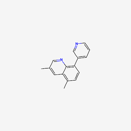 Cc1cnc2c(-c3cccnc3)ccc(C)c2c1